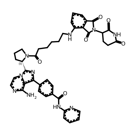 Nc1nccn2c([C@@H]3CCCN3C(=O)CCCCCNc3cccc4c3C(=O)N(C3CCC(=O)NC3=O)C4=O)nc(-c3ccc(C(=O)Nc4ccccn4)cc3)c12